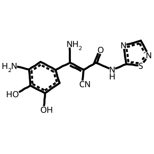 N#C/C(C(=O)Nc1ncns1)=C(/N)c1cc(N)c(O)c(O)c1